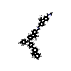 C/C=C/c1ccc2c(c1)C(C)(C)c1cc(/C=C/c3ccc4c(c3)C(C)(C)c3cc(N(c5ccc(C)cc5)c5ccc(-c6ccc7c(c6)C(C)(C)c6ccccc6-7)cc5)ccc3-4)ccc1-2